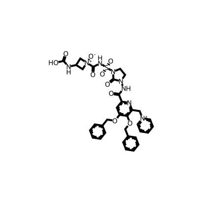 O=C(O)NC1C[N+]([O-])(C(=O)NS(=O)(=O)N2CCN(NC(=O)c3cc(OCc4ccccc4)c(OCc4ccccc4)c(C[n+]4ccccc4)n3)C2=O)C1